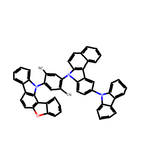 N#Cc1cc(-n2c3ccccc3c3ccc4oc5ccccc5c4c32)c(C#N)cc1-n1c2ccc(-n3c4ccccc4c4ccccc43)cc2c2c3ccccc3ccc21